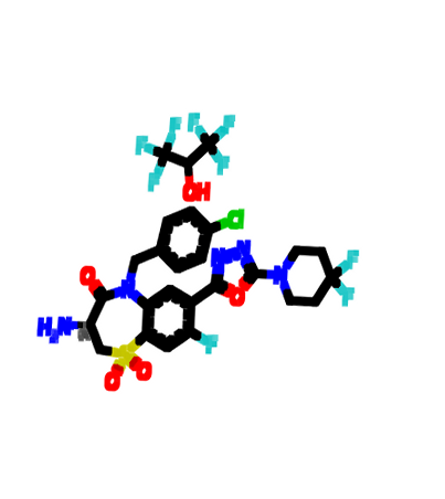 N[C@H]1CS(=O)(=O)c2cc(F)c(-c3nnc(N4CCC(F)(F)CC4)o3)cc2N(Cc2ccc(Cl)cc2)C1=O.OC(C(F)(F)F)C(F)(F)F